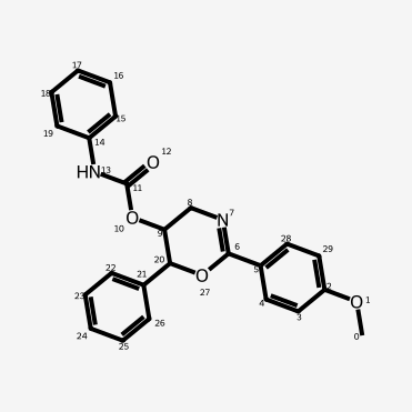 COc1ccc(C2=NCC(OC(=O)Nc3ccccc3)C(c3ccccc3)O2)cc1